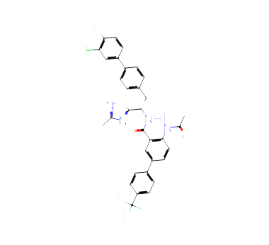 CC(=O)Nc1ccc(-c2ccc(C(F)(F)F)cc2)cc1C(=O)N[C@H](Cc1ccc(-c2ccc(F)c(Cl)c2)cc1)c1nc(C)no1